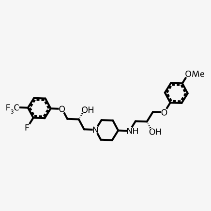 COc1ccc(OC[C@H](O)CNC2CCN(C[C@@H](O)COc3ccc(C(F)(F)F)c(F)c3)CC2)cc1